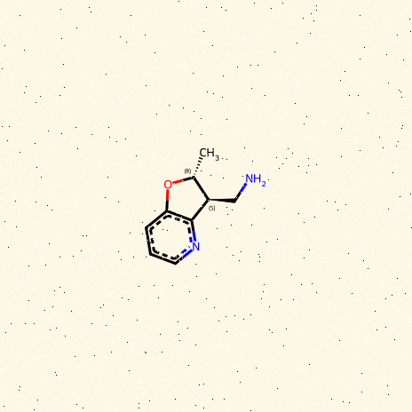 C[C@H]1Oc2cccnc2[C@@H]1CN